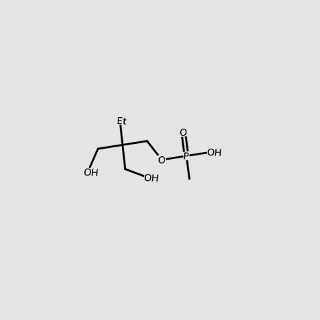 CCC(CO)(CO)COP(C)(=O)O